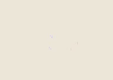 CC1(C)c2c(-c3ccccc3)nc(-c3ccccc3)nc2-c2c1c1ccccc1c1ccccc21